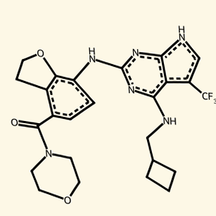 O=C(c1ccc(Nc2nc(NCC3CCC3)c3c(C(F)(F)F)c[nH]c3n2)c2c1CCO2)N1CCOCC1